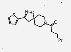 CC(C)CCC(=O)N1CCC2(CC1)CC(c1cccs1)=NO2